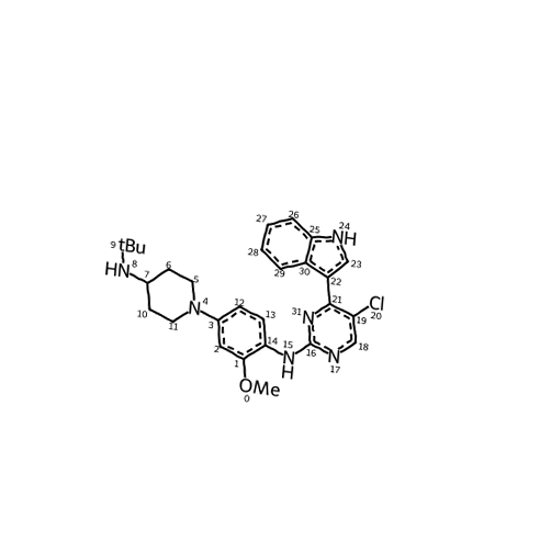 COc1cc(N2CCC(NC(C)(C)C)CC2)ccc1Nc1ncc(Cl)c(-c2c[nH]c3ccccc23)n1